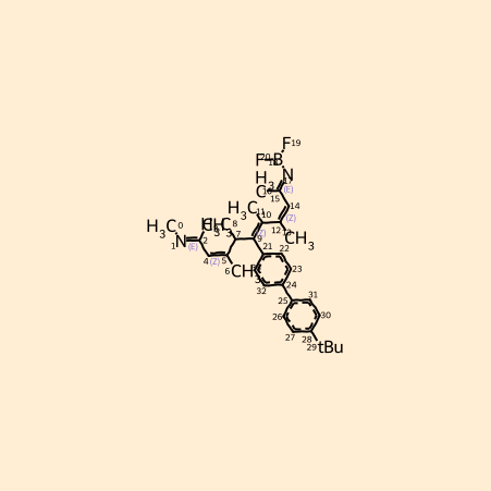 C/N=C(C)/C=C(/C)C(C)/C(=C(C)/C(C)=C\C(C)=N\B(F)F)c1ccc(-c2ccc(C(C)(C)C)cc2)cc1